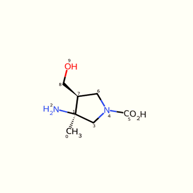 C[C@@]1(N)CN(C(=O)O)C[C@@H]1CO